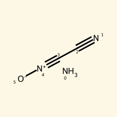 N.N#CC#[N+][O-]